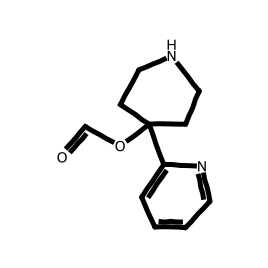 O=COC1(c2ccccn2)CCNCC1